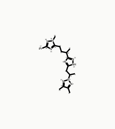 Cc1nn(C(C)Cc2nc(C(C)CCc3nc(C(C)C)nn3C)n[nH]2)nc1C